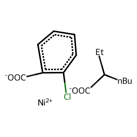 CCCCC(CC)C(=O)[O-].O=C([O-])c1ccccc1Cl.[Ni+2]